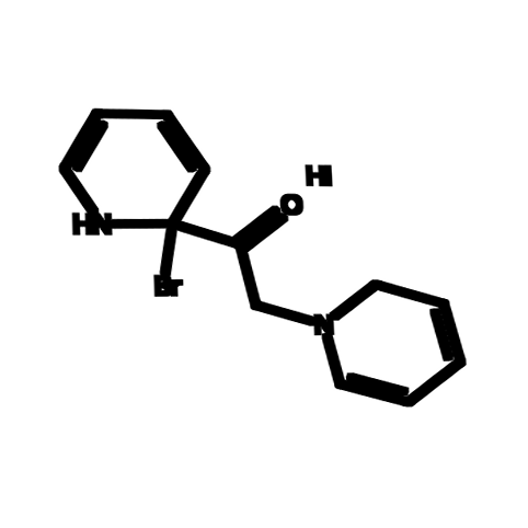 I.O=C(CN1C=CC=CC1)C1(Br)C=CC=CN1